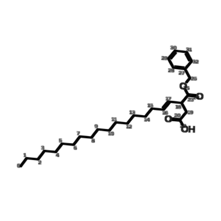 CCCCCCCCCCCCCCCC/C=C/C(CC(=O)O)C(=O)OCc1ccccc1